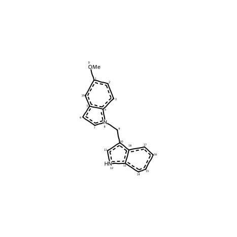 COc1ccc2c(ccn2Cc2c[nH]c3ccccc23)c1